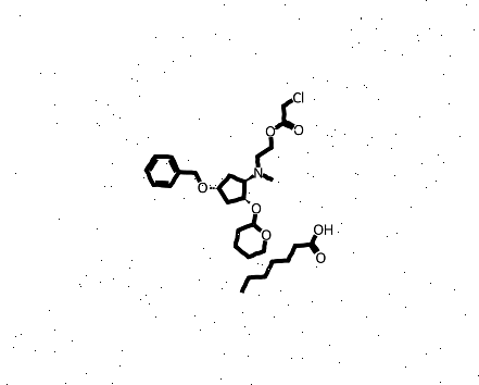 CCCCCCC(=O)O.CN(CCOC(=O)CCl)[C@@H]1C[C@@H](OCc2ccccc2)C[C@H]1OC1CCCCO1